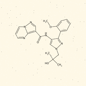 COc1ccccc1-c1nn(CC(C)(C)O)cc1NC(=O)c1cnn2cccnc12